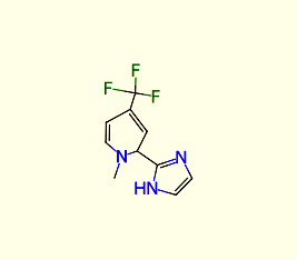 CN1C=CC(C(F)(F)F)=CC1c1ncc[nH]1